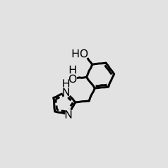 OC1C=CC=C(Cc2ncc[nH]2)C1O